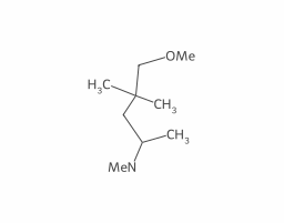 CNC(C)CC(C)(C)COC